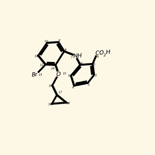 O=C(O)c1ccccc1Nc1cccc(Br)c1OCC1CC1